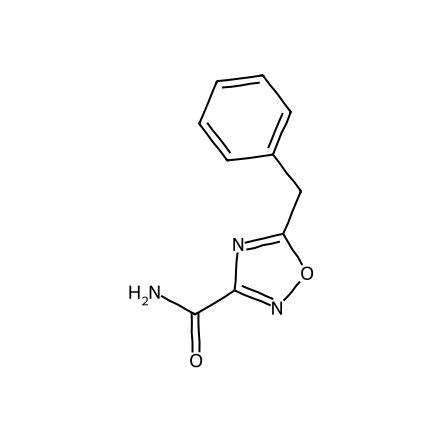 NC(=O)c1noc(Cc2ccccc2)n1